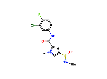 Cn1cc([S+]([O-])NC(C)(C)C)cc1C(=O)Nc1ccc(F)c(Cl)c1